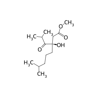 COC(=O)C[C@](O)(CCCC(C)C)C(=O)C(C)C